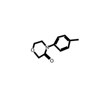 Cc1ccc(N2CCOCC2=O)cc1